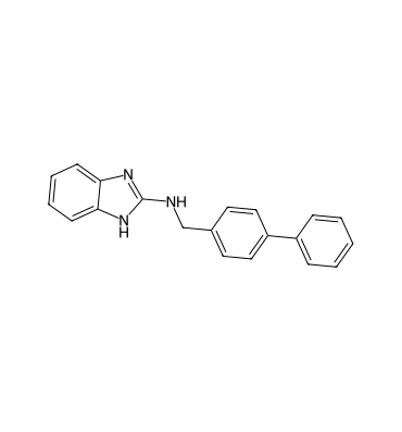 c1ccc(-c2ccc(CNc3nc4ccccc4[nH]3)cc2)cc1